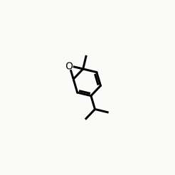 CC(C)C1=CC2OC2(C)C=C1